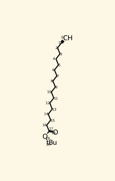 C#CCCCCCCCCCCCCCCCC(=O)OC(C)(C)C